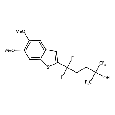 COc1cc2cc(C(F)(F)CCC(O)(C(F)(F)F)C(F)(F)F)sc2cc1OC